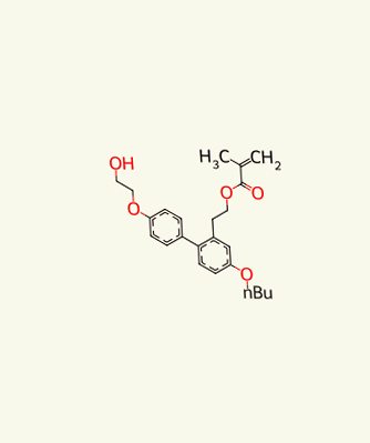 C=C(C)C(=O)OCCc1cc(OCCCC)ccc1-c1ccc(OCCO)cc1